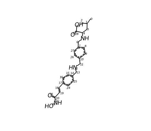 CC(C)CC(NCc1ccc(CNCc2ccc(/C=C/C(=O)NO)cc2)cc1)C(=O)O